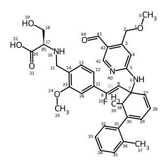 COCc1cc(NC2(/C=C(\F)c3ccc(CN[C@H](CO)C(=O)O)c(OC)c3)C=CC=C(c3ccccc3C)C2C)ncc1C=O